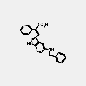 O=C(O)C(=Cc1c[nH]c2ncc(NCc3ccccc3)cc12)c1ccccc1